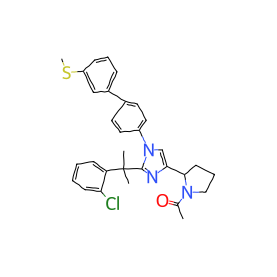 CSc1cccc(-c2ccc(-n3cc(C4CCCN4C(C)=O)nc3C(C)(C)c3ccccc3Cl)cc2)c1